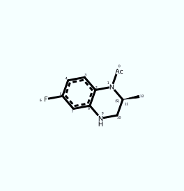 CC(=O)N1c2ccc(F)cc2NC[C@@H]1C